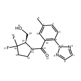 Cc1ccc(-n2nccn2)c(C(=O)N2CCC(F)(F)[C@H]2CO)c1